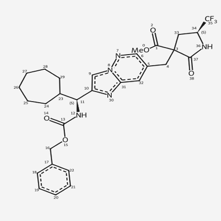 COC(=O)C1(Cc2cnn3cc([C@@H](NC(=O)OCc4ccccc4)C4CCCCCC4)nc3c2)C[C@@H](C(F)(F)F)NC1=O